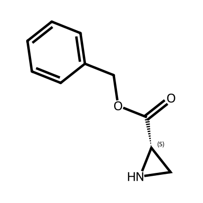 O=C(OCc1ccccc1)[C@@H]1CN1